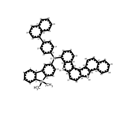 C[Si]1(C)c2ccccc2-c2cc(N(c3ccc(-c4cccc5ccccc45)cc3)c3cccc4c3sc3ccc5oc6c7ccccc7ccc6c5c34)ccc21